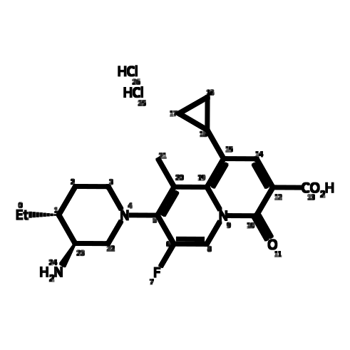 CC[C@@H]1CCN(c2c(F)cn3c(=O)c(C(=O)O)cc(C4CC4)c3c2C)C[C@H]1N.Cl.Cl